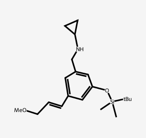 COCC=Cc1cc(CNC2CC2)cc(O[Si](C)(C)C(C)(C)C)c1